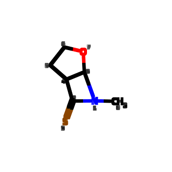 CN1C(=S)C2CCOC21